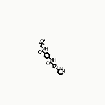 COC(C)(C)CNC(=O)c1ccc(NC(=O)C2CN(c3cccnn3)C2)cc1